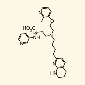 Cc1ncccc1OCCN(CCCCc1ccc2c(n1)NCCC2)CC[C@H](Nc1cccnc1)C(=O)O